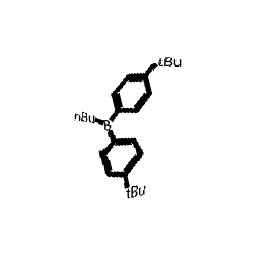 CCCCB(c1ccc(C(C)(C)C)cc1)c1ccc(C(C)(C)C)cc1